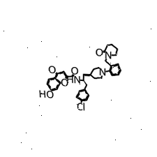 O=C(N[C@@H](C=C1CCN(c2ccccc2CN2CCCCC2=O)CC1)Cc1ccc(Cl)cc1)c1cc(=O)c2ccc(O)cc2o1